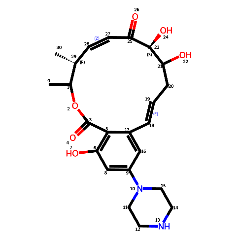 CC1OC(=O)c2c(O)cc(N3CCNCC3)cc2/C=C/CC(O)[C@H](O)C(=O)/C=C\[C@H]1C